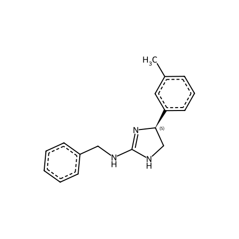 Cc1cccc([C@H]2CNC(NCc3ccccc3)=N2)c1